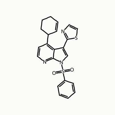 O=S(=O)(c1ccccc1)n1cc(-c2nccs2)c2c(C3C=CCCC3)ccnc21